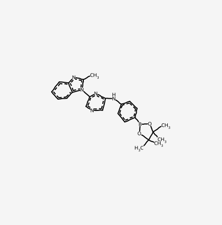 Cc1nc2ccccc2n1-c1cncc(Nc2ccc(B3OC(C)(C)C(C)(C)O3)cc2)n1